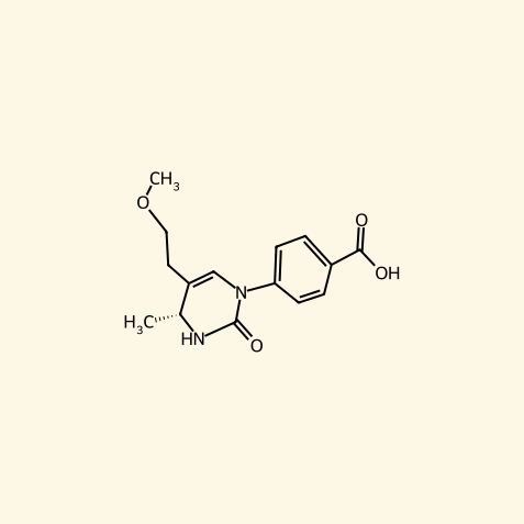 COCCC1=CN(c2ccc(C(=O)O)cc2)C(=O)N[C@@H]1C